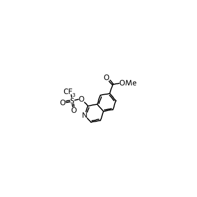 COC(=O)c1ccc2ccnc(OS(=O)(=O)C(F)(F)F)c2c1